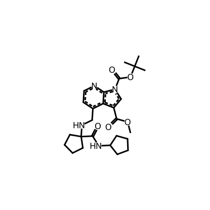 COC(=O)c1cn(C(=O)OC(C)(C)C)c2nccc(CNC3(C(=O)NC4CCCC4)CCCC3)c12